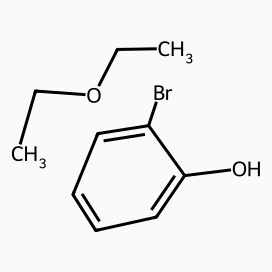 CCOCC.Oc1ccccc1Br